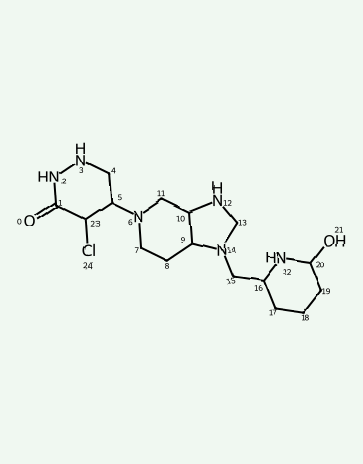 O=C1NNCC(N2CCC3C(C2)NCN3CC2CCCC(O)N2)C1Cl